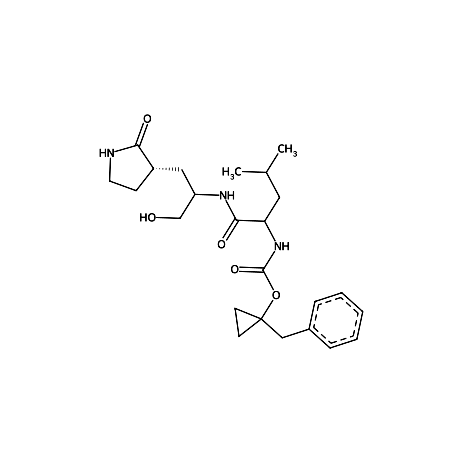 CC(C)CC(NC(=O)OC1(Cc2ccccc2)CC1)C(=O)NC(CO)C[C@@H]1CCNC1=O